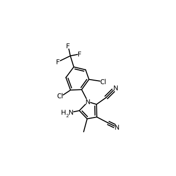 Cc1c(C#N)c(C#N)n(-c2c(Cl)cc(C(F)(F)F)cc2Cl)c1N